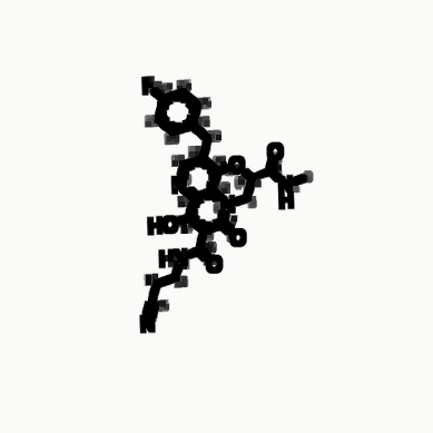 CNC(=O)[C@H]1Cn2c(=O)c(C(=O)NCCC#N)c(O)c3ncc(Cc4ccc(F)cc4)c(c32)O1